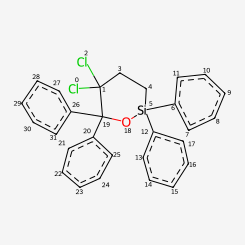 ClC1(Cl)CC[Si](c2ccccc2)(c2ccccc2)OC1(c1ccccc1)c1ccccc1